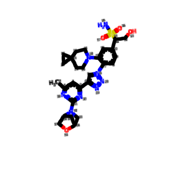 Cc1cc(-c2cn(-c3ccc(C(CO)S(N)(=O)=O)cc3N3CCC4(CC3)CC4)nn2)nc(N2CC3CC2CO3)n1